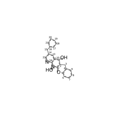 O=c1c(Cc2ccccc2)c(O)c2cc(Cc3ccccc3)cnc2n1O